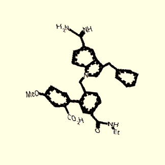 CCNC(=O)c1ccc(Cn2cc(Cc3ccccc3)c3cc(C(=N)N)ccc32)c(-c2ccc(OC)cc2C(=O)O)c1